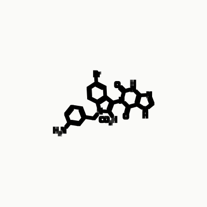 Nc1cccc(Cn2c(C(=O)O)c(-n3c(=O)[nH]c4nc[nH]c4c3=O)c3cc(Br)ccc32)c1